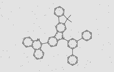 CC1(C)c2ccccc2-c2cc3c4cc(-c5nc6ccccc6c6ccccc56)ccc4n(-c4cc(-c5ccccc5)cc(-c5ccccc5)c4)c3cc21